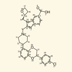 O=C(O)c1ccc2nc(CN3CCC(c4cccc5c4OCC(c4ccc(Cl)cc4)O5)CC3)n(C[C@@H]3CCO3)c2c1